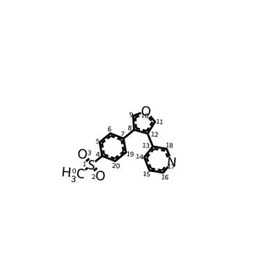 CS(=O)(=O)c1ccc(-c2cocc2-c2cccnc2)cc1